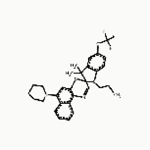 CCCN1c2ccc(OC(F)(F)F)cc2C(C)(C)C12C=Nc1c(cc(N3CCCCC3)c3ccccc13)O2